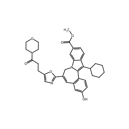 COC(=O)c1ccc2c(C3CCCCC3)c3n(c2c1)CC(c1ncc(CCC(=O)N2CCOCC2)o1)=Cc1cc(O)ccc1-3